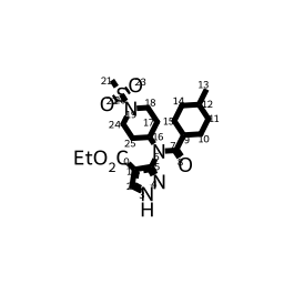 CCOC(=O)c1c[nH]nc1N(C(=O)C1CCC(C)CC1)C1CCN(S(C)(=O)=O)CC1